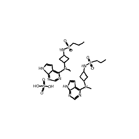 CCCS(=O)(=O)NC1CC(N(C)c2ncnc3[nH]ccc23)C1.CCCS(=O)(=O)NC1CC(N(C)c2ncnc3[nH]ccc23)C1.O=S(=O)(O)O